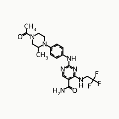 CC(=O)N1CCN(c2ccc(Nc3ncc(C(N)=O)c(NCC(F)(F)F)n3)cc2)[C@@H](C)C1